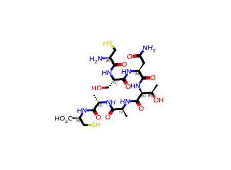 C[C@H](NC(=O)[C@H](C)NC(=O)[C@@H](NC(=O)[C@H](CC(N)=O)NC(=O)[C@H](CO)NC(=O)[C@@H](N)CS)[C@@H](C)O)C(=O)N[C@@H](CS)C(=O)O